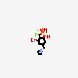 O=P(O)(O)C(F)(F)c1ccc(CN2CCC2)cc1Br